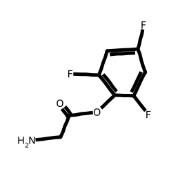 NCC(=O)Oc1c(F)cc(F)cc1F